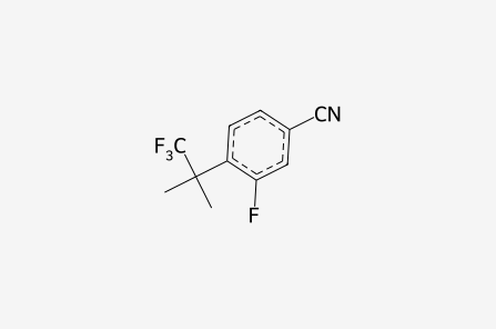 CC(C)(c1ccc(C#N)cc1F)C(F)(F)F